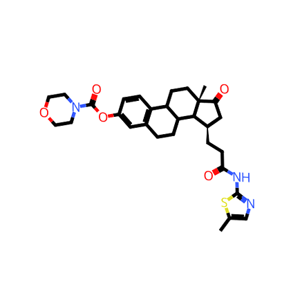 Cc1cnc(NC(=O)CC[C@@H]2CC(=O)[C@@]3(C)CCC4c5ccc(OC(=O)N6CCOCC6)cc5CCC4C23)s1